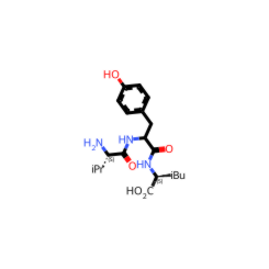 CCC(C)[C@H](NC(=O)C(Cc1ccc(O)cc1)NC(=O)[C@@H](N)C(C)C)C(=O)O